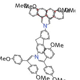 COc1ccc(C(=CN(C=C(c2ccc(OC)cc2)c2ccc(OC)cc2)c2ccc3c(c2)Cc2cc(N(C=C(c4ccc(OC)cc4)c4ccc(OC)cc4)C=C(c4ccc(OC)cc4)c4ccc(OC)cc4)ccc2-3)c2ccc(OC)cc2)cc1